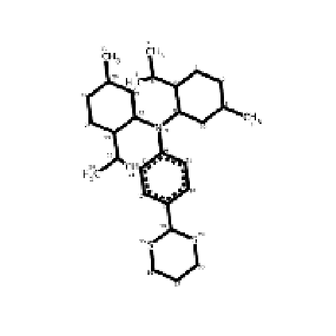 CC1CCC(C(C)C)C(N(c2ccc(C3SCCCS3)cc2)C2CC(C)CCC2C(C)C)C1